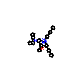 c1ccc(-c2ccc(-c3ccc(-c4nc(-c5ccc(-c6ccc(-c7ccccc7)cc6)cc5)nc(-c5ccc(-n6c7cc8ccccc8cc7c7c8ccccc8ccc76)cc5-c5ccc6oc7ccccc7c6c5)n4)cc3)cc2)cc1